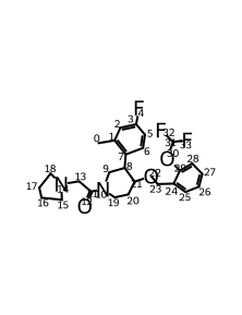 Cc1cc(F)ccc1C1CN(C(=O)CN2CCCC2)CCC1OCc1ccccc1OC(F)F